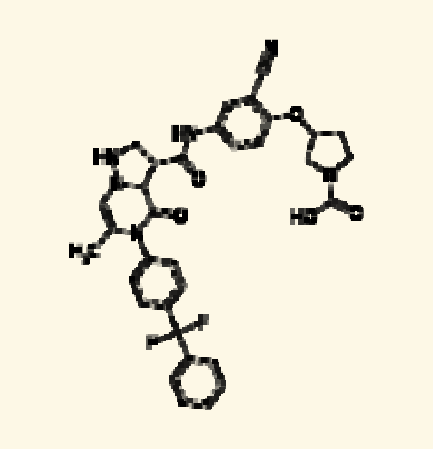 CC1=CN2NCC(C(=O)Nc3ccc(OC4CCN(C(=O)O)C4)c(C#N)c3)C2C(=O)N1c1ccc(C(F)(F)c2ccccc2)cc1